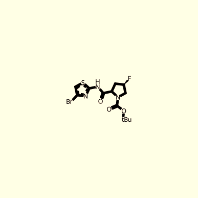 CC(C)(C)OC(=O)N1C[C@H](F)CC1C(=O)Nc1nc(Br)cs1